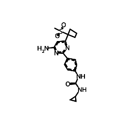 CS(=O)(=O)C1(c2cc(N)nc(-c3ccc(NC(=O)NC4CC4)cc3)n2)CCC1